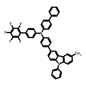 Cc1ccc2c(c1)c1cc(-c3ccc(N(c4ccc(-c5ccccc5)cc4)c4ccc(-c5c(F)c(F)c(F)c(F)c5F)cc4)cc3)ccc1n2-c1ccccc1